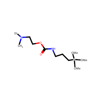 CCN(C)CCOC(=O)NCCC[Si](OC)(OC)OC